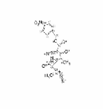 CC(C(=O)C(=[N+]=[N-])C(=O)OCc1ccc([N+](=O)[O-])cc1)C1NC(=O)C1[C@@H](C)N=[N+]=[N-]